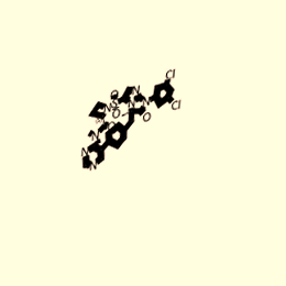 CN(C)C(=O)[C@@H]1CCN1S(=O)(=O)c1cnc2n1[C@](C)(Cc1ccc(-c3cncnc3)cc1)C(=O)N2c1cc(Cl)cc(Cl)c1